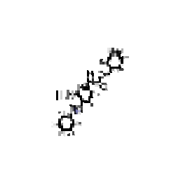 Nc1nc(NC(=O)OCc2ccccc2)ccc1/N=N/c1ccccc1